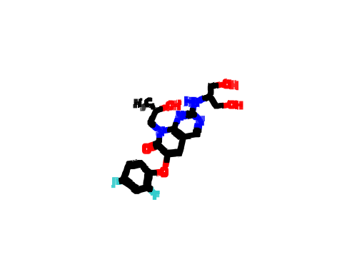 C[C@H](O)Cn1c(=O)c(Oc2ccc(F)cc2F)cc2cnc(NC(CO)CO)nc21